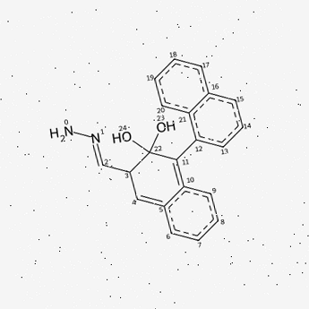 N/N=C/C1C=c2ccccc2=C(c2cccc3ccccc23)C1(O)O